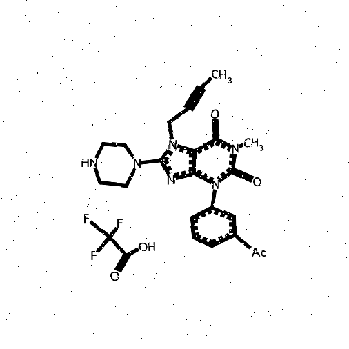 CC#CCn1c(N2CCNCC2)nc2c1c(=O)n(C)c(=O)n2-c1cccc(C(C)=O)c1.O=C(O)C(F)(F)F